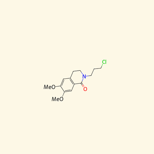 COc1cc2c(cc1OC)C(=O)N(CCCCl)CC2